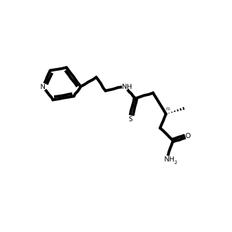 C[C@@H]([CH]C(=S)NCCc1ccncc1)CC(N)=O